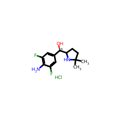 CC1(C)CCC([C@H](O)c2cc(F)c(N)c(F)c2)N1.Cl